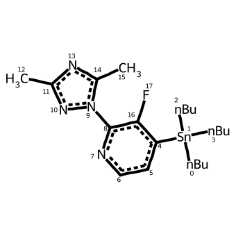 CCC[CH2][Sn]([CH2]CCC)([CH2]CCC)[c]1ccnc(-n2nc(C)nc2C)c1F